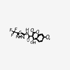 COc1ccc2c(O)c(C(=O)Nc3nnc(C(F)(F)F)s3)c(=O)oc2c1